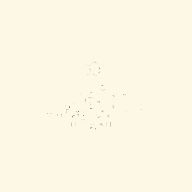 COC(=O)CC[C@H]1CCC[C@@H](O[C@H]2O[C@H](CO)[C@H](O)[C@H](O[C@@H](CC3CCCCC3)C(=O)O)[C@H]2OCc2ccccc2)[C@H]1O[C@@H]1O[C@H](C)[C@H](O)[C@H](O)[C@H]1O